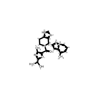 Cc1nc(C(C)O)oc1C(=O)N1CCc2[nH]cnc2[C@@H]1c1cc2c(C)cccn2n1